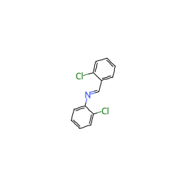 Clc1ccccc1C=Nc1ccccc1Cl